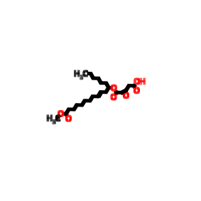 CCCCCCC(CC=CCCCCCCCC(=O)OC)OC(=O)C1OC1CC(=O)O